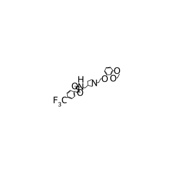 O=S(=O)(NCC1CCN(CCOc2cccc3c2OCCO3)C1)c1ccc(C(F)(F)F)cc1